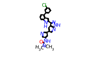 CN(C)C(=O)Nc1cncc(-c2cnc3[nH]nc(-c4cc5c(-c6cccc(Cl)c6)cccc5[nH]4)c3c2)c1